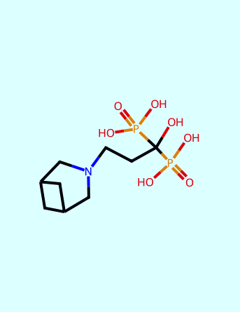 O=P(O)(O)C(O)(CCN1CC2CC(C2)C1)P(=O)(O)O